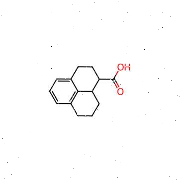 O=C(O)C1CCc2cccc3c2C1CCC3